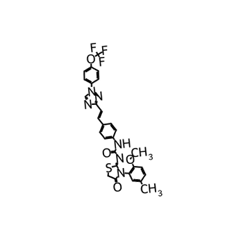 COc1ccc(C)cc1N1C(=O)CSC1=NC(=O)Nc1ccc(C=Cc2ncn(-c3ccc(OC(F)(F)F)cc3)n2)cc1